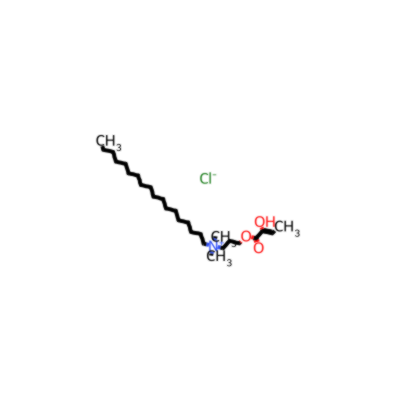 CC=C(O)C(=O)OCCC[N+](C)(C)CCCCCCCCCCCCCCCCCC.[Cl-]